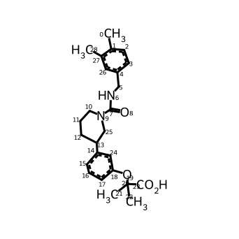 Cc1ccc(CNC(=O)N2CCCC(c3cccc(OC(C)(C)C(=O)O)c3)C2)cc1C